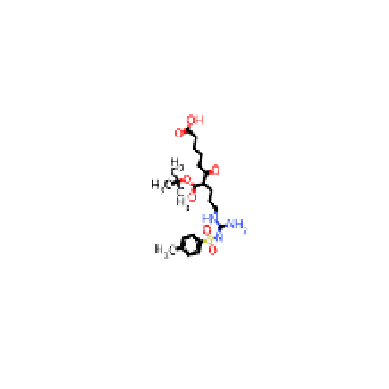 Cc1ccc(S(=O)(=O)N=C(N)NCCCC(C(=O)CCCCC(=O)O)C(=O)OC(C)(C)C)cc1